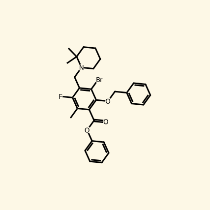 Cc1c(F)c(CN2CCCCC2(C)C)c(Br)c(OCc2ccccc2)c1C(=O)Oc1ccccc1